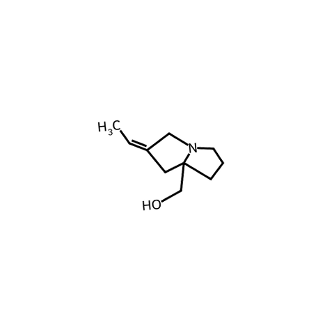 CC=C1CN2CCCC2(CO)C1